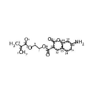 C=C(C)C(=O)OCCOC(=O)c1cc2ccc(N)cc2oc1=O